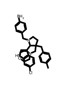 Bc1ccc(CN2CCC(Cc3ccc(C)cc3)(CN3CCOCC3)C2c2c[nH]c3cc(Cl)ccc23)cc1